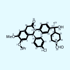 COc1cc2c(cc1OC(C)C)[C@H](c1ccc(Cl)cc1)N(c1ccc([C@@](C)(O)C3CCN(C=O)CC3)cc1)C(=O)C2